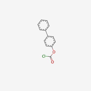 O=C(Cl)Oc1ccc(-c2ccccc2)cc1